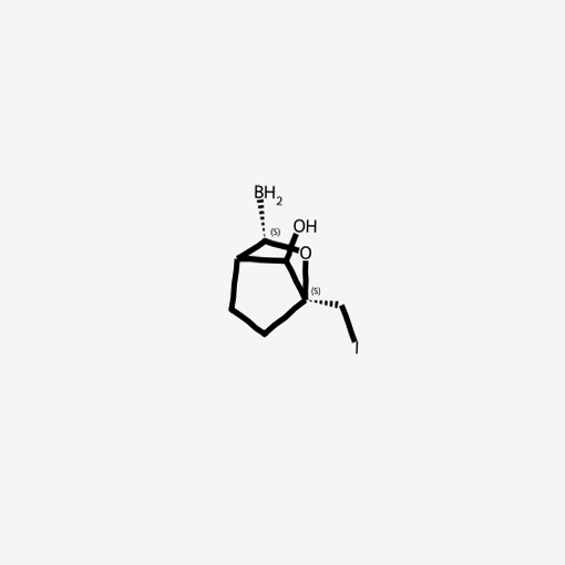 B[C@@H]1O[C@@]2(CI)CCC1C2O